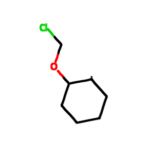 ClCOC1[CH]CCCC1